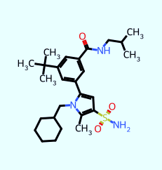 Cc1c(S(N)(=O)=O)cc(-c2cc(C(=O)NCC(C)C)cc(C(C)(C)C)c2)n1CC1CCCCC1